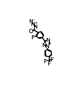 [N-]=[N+]=NC(=O)c1ccc(-c2ncn(-c3ccc(C(F)(F)F)cc3)n2)cc1F